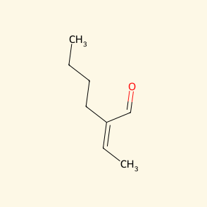 C/C=C(\C=O)CCCC